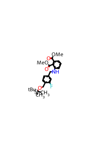 COC(=O)c1cccc(NCc2ccc(CO[Si](C)(C)C(C)(C)C)c(F)c2)c1C(=O)OC